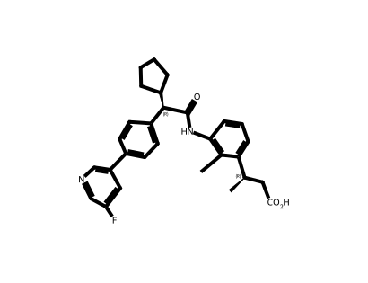 Cc1c(NC(=O)[C@@H](c2ccc(-c3cncc(F)c3)cc2)C2CCCC2)cccc1[C@H](C)CC(=O)O